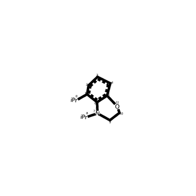 CC(C)c1cccc2c1N(C(C)C)CCO2